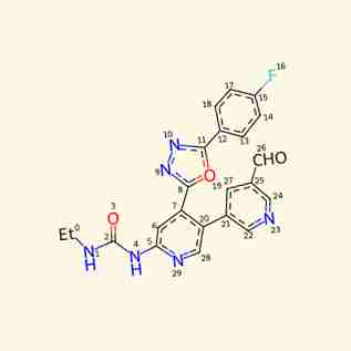 CCNC(=O)Nc1cc(-c2nnc(-c3ccc(F)cc3)o2)c(-c2cncc(C=O)c2)cn1